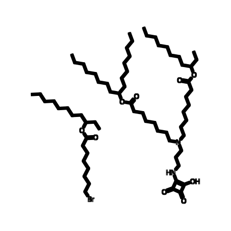 CCCCCCCCC(CC)OC(=O)CCCCCCCBr.CCCCCCCCC(CC)OC(=O)CCCCCCCN(CCCCCCCC(=O)OC(CCCCCCCC)CCCCCCCC)CCCNc1c(O)c(=O)c1=O